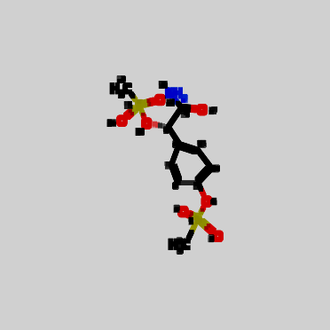 CS(=O)(=O)Oc1ccc([C@H](OS(C)(=O)=O)C(N)=O)cc1